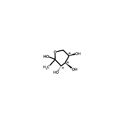 CC1(O)OC[C@@H](O)[C@@H](O)[C@@H]1O